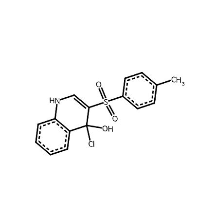 Cc1ccc(S(=O)(=O)C2=CNc3ccccc3C2(O)Cl)cc1